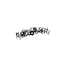 Cc1c(C(=O)OCCS(C)(C)C)ccc(CCCB2OC(C)(C)C(C)(C)O2)c1O